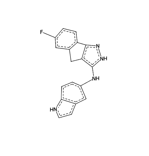 Fc1ccc2c(c1)Cc1c-2n[nH]c1Nc1ccc2[nH]ccc2c1